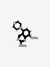 CNc1ncc2c(N3CCOCC3)ccc(OC)c2n1